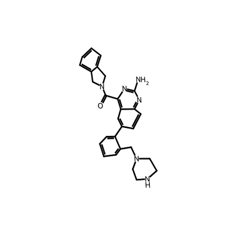 Nc1nc(C(=O)N2Cc3ccccc3C2)c2cc(-c3ccccc3CN3CCNCC3)ccc2n1